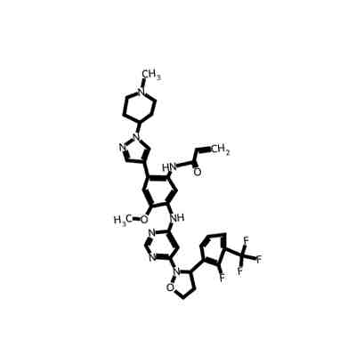 C=CC(=O)Nc1cc(Nc2cc(N3OCCC3c3cccc(C(F)(F)F)c3F)ncn2)c(OC)cc1-c1cnn(C2CCN(C)CC2)c1